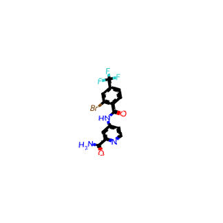 NC(=O)c1cc(NC(=O)c2ccc(C(F)(F)F)cc2Br)ccn1